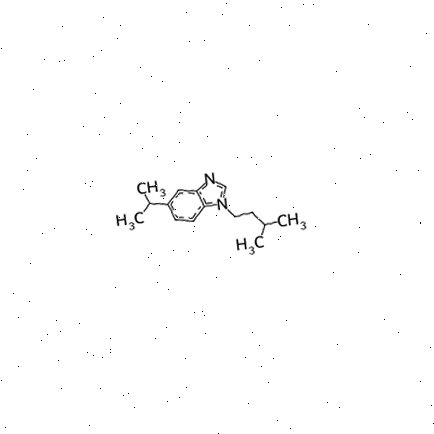 CC(C)CCn1cnc2cc(C(C)C)ccc21